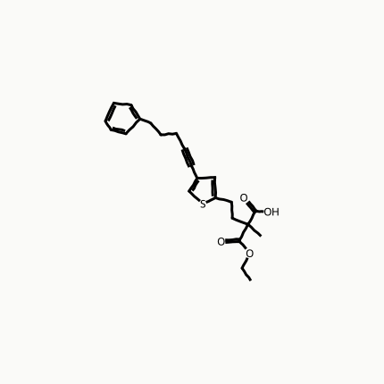 CCOC(=O)C(C)(CCc1cc(C#CCCCc2ccccc2)cs1)C(=O)O